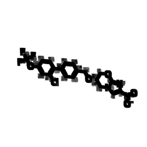 O=[N+]([O-])c1cn2c(n1)OC[C@@H](OCc1ccc(-c3ccc(OC(F)(F)F)cc3Cl)cc1)C2